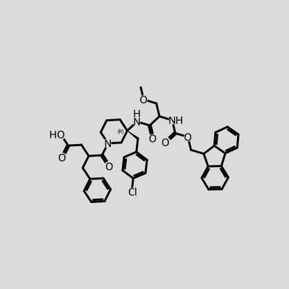 COCC(NC(=O)OCC1c2ccccc2-c2ccccc21)C(=O)N[C@@]1(Cc2ccc(Cl)cc2)CCCN(C(=O)C(CC(=O)O)Cc2ccccc2)C1